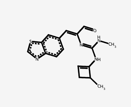 CN/C(=N\C(C=O)=C/c1ccc2ncsc2c1)NC1=CCC1C